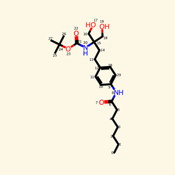 CCCCCCC(=O)Nc1ccc(CCC(CO)(CO)NC(=O)OC(C)(C)C)cc1